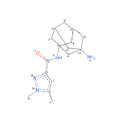 Cc1cc(C(=O)NC23CC4CC(CC(N)(C4)C2)C3)nn1C